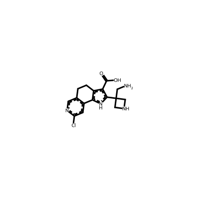 NCC1(c2[nH]c3c(c2C(=O)O)CCc2cnc(Cl)cc2-3)CNC1